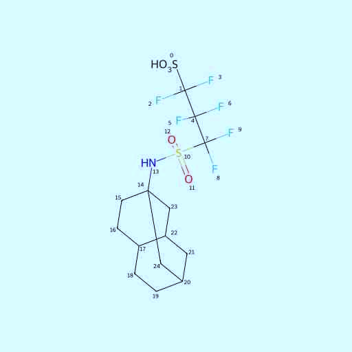 O=S(=O)(O)C(F)(F)C(F)(F)C(F)(F)S(=O)(=O)NC12CCC3CCC(CC3C1)C2